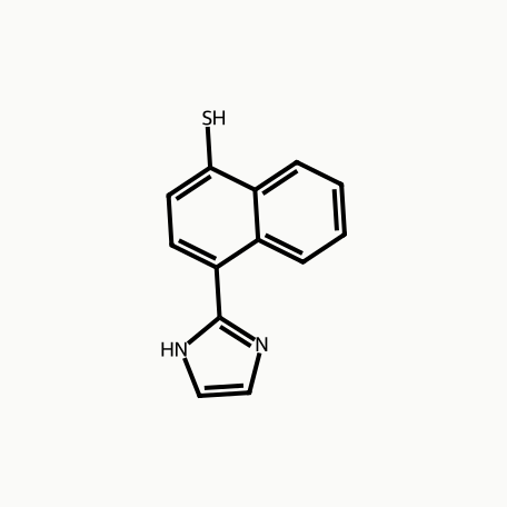 Sc1ccc(-c2ncc[nH]2)c2ccccc12